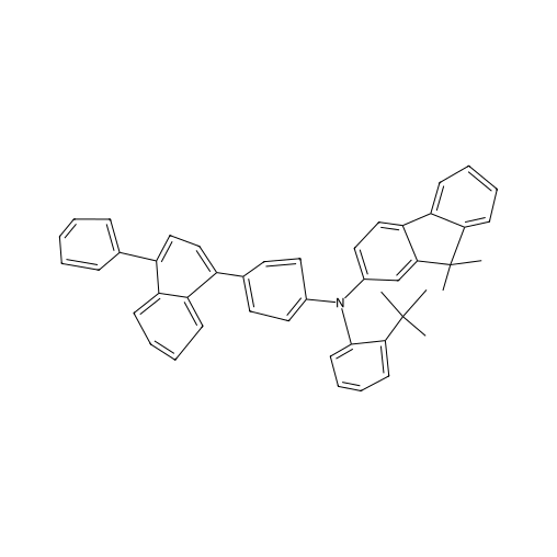 CC(C)(C)c1ccccc1N(c1ccc(-c2ccc(-c3ccccc3)c3ccccc23)cc1)c1ccc2c(c1)C(C)(C)c1ccccc1-2